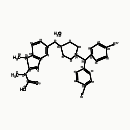 CN(C(=O)O)c1nc2cc(CN3CCN(C(c4ccc(F)cc4)c4ccc(F)cc4)CC3)ccc2n1C.O